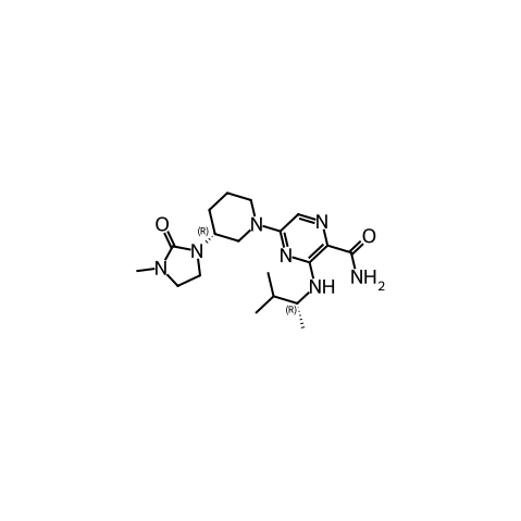 CC(C)[C@@H](C)Nc1nc(N2CCC[C@@H](N3CCN(C)C3=O)C2)cnc1C(N)=O